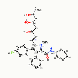 COC(=O)C[C@H](O)CC(=O)/C=C/c1c(-c2ccc(F)cc2)c(-c2ccccc2)c(C(=O)Nc2ccccc2)n1C(C)C